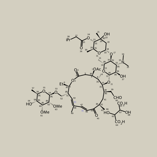 CC[C@H]1OC(=O)C[C@@H](OC(C)=O)[C@H](C)[C@@H](O[C@@H]2O[C@H](C)[C@@H](O[C@H]3C[C@@](C)(O)[C@@H](OC(=O)CC(C)C)[C@H](C)O3)[C@H](N(C)C)[C@H]2O)[C@@H](CC=O)C[C@@H](C)C(=O)/C=C/C(C)=C/[C@@H]1CO[C@@H]1O[C@H](C)[C@@H](O)[C@@H](OC)[C@H]1OC.O=C(O)C(O)C(O)C(=O)O